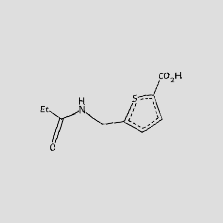 CCC(=O)NCc1ccc(C(=O)O)s1